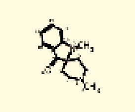 CN1CCC2(CC1)C(=O)c1ccccc1N2C